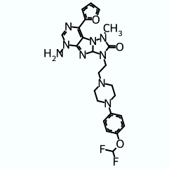 CN1C(=O)N(CCN2CCN(c3ccc(OC(F)F)cc3)CC2)C2N=C3C(=C(c4ccco4)N=CN3N)N21